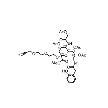 C#CCOCCOCCO[C@]1(C(=O)OC)C[C@H](OC(C)=O)[C@@H](NC(=O)COC(C)=O)[C@H]([C@H](OC(C)=O)[C@@H](CNC(=O)Cc2ccccc2O)OC(C)=O)O1